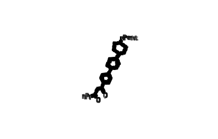 CCCCCC1CCC(c2ccc(-c3ccc(C(=O)CC(=O)CCC)cc3)cc2)CC1